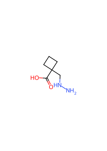 NNCC1(C(=O)O)CCC1